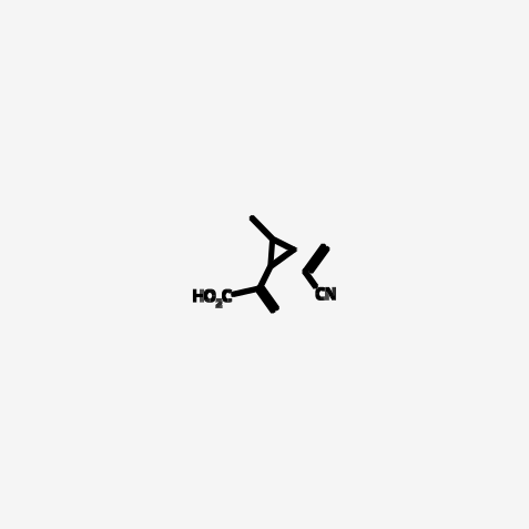 C=C(C(=O)O)C1CC1C.C=CC#N